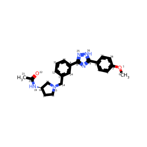 COc1ccc(-c2nc(-c3cccc(CN4CC[C@H](NC(C)=O)C4)c3)n[nH]2)cc1